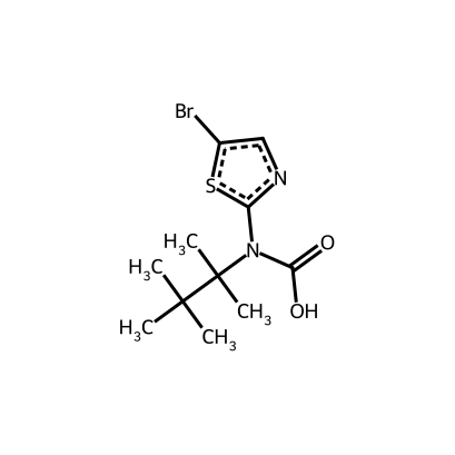 CC(C)(C)C(C)(C)N(C(=O)O)c1ncc(Br)s1